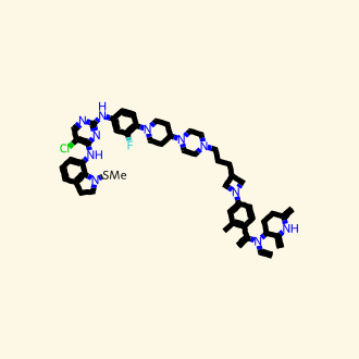 C=CN(C(=C)c1ccc(N2CC(CCCN3CCN(C4CCN(c5ccc(Nc6ncc(Cl)c(Nc7cccc8c7N(SC)CC8)n6)cc5F)CC4)CC3)C2)cc1C)C1CCC(=C)NC1=C